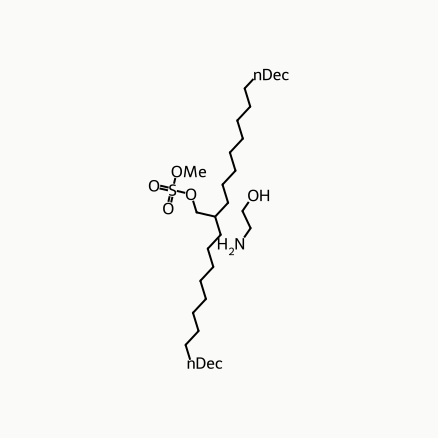 CCCCCCCCCCCCCCCCCCC(CCCCCCCCCCCCCCCCCC)COS(=O)(=O)OC.NCCO